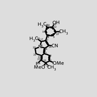 COC1=CC2=C3C(C#N)=C(c4cc(C)c(O)c(C)c4)C(C)N3CCC2=C(F)C1(C)OC